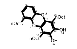 CCCCCCCCc1cccc2c1Oc1c(CCCCCCCC)c(O)c(O)c(CCCCCCCC)c1O2